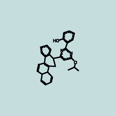 CC(C)Oc1cc(C2CC3=C(C=CC4C=CC=CC34)c3ccccc32)nc(-c2ccccc2O)n1